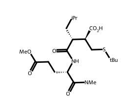 CNC(=O)[C@H](CCC(=O)OC)NC(=O)[C@H](CC(C)C)[C@H](CSC(C)(C)C)C(=O)O